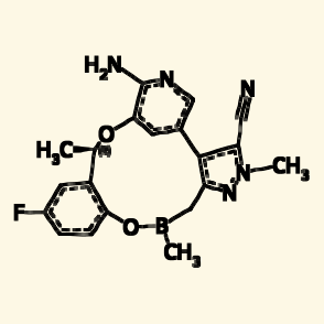 CB1Cc2nn(C)c(C#N)c2-c2cnc(N)c(c2)O[C@H](C)c2cc(F)ccc2O1